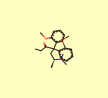 CCC(=O)C(C[C@H](C)N(C)C)(c1ccccc1OC)c1ccccc1OC